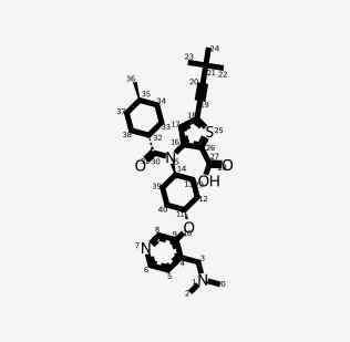 CN(C)Cc1ccncc1O[C@H]1CC[C@H](N(c2cc(C#CC(C)(C)C)sc2C(=O)O)C(=O)[C@H]2CC[C@H](C)CC2)CC1